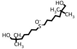 CC(C)(CO)CCCCC[S+]([O-])CCCCCC(C)(C)CO